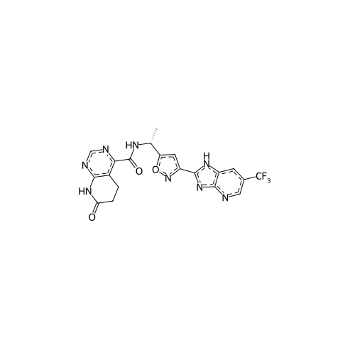 C[C@@H](NC(=O)c1ncnc2c1CCC(=O)N2)c1cc(-c2nc3ncc(C(F)(F)F)cc3[nH]2)no1